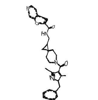 CC1=NC(Cc2ccccc2)C(C)=C1C(=O)N1CCC2(CC1)CC2CNC(=O)c1cc2ccncc2o1